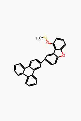 FC(F)(F)SOc1cccc2oc3ccc(-c4ccc5c6ccccc6c6ccccc6c5c4)cc3c12